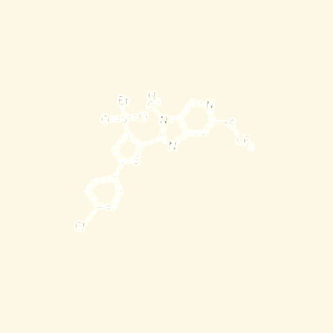 CCS(=O)(=O)c1cc(-c2ccc(Cl)cc2)sc1-c1nc2cc(SC(F)(F)F)ncc2n1C